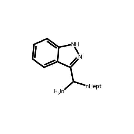 CCCCCCC[CH]([InH2])c1n[nH]c2ccccc12